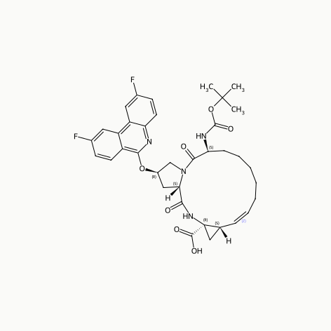 CC(C)(C)OC(=O)N[C@H]1CCCCC/C=C\[C@@H]2C[C@@]2(C(=O)O)NC(=O)[C@@H]2C[C@@H](Oc3nc4ccc(F)cc4c4cc(F)ccc34)CN2C1=O